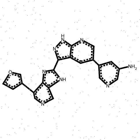 Nc1cncc(-c2cnc3[nH]nc(-c4nc5c(-c6ccoc6)cncc5[nH]4)c3c2)c1